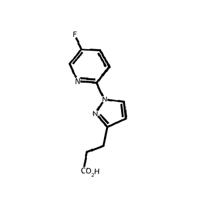 O=C(O)CCc1ccn(-c2ccc(F)cn2)n1